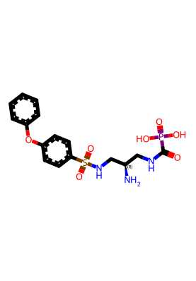 N[C@H](CNC(=O)P(=O)(O)O)CNS(=O)(=O)c1ccc(Oc2ccccc2)cc1